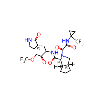 O=C(NC1(C(F)(F)F)CC1)C(=O)N1C[C@@H]2CCC[C@@H]2[C@H]1C(=O)NC(C[C@@H]1CCNC1=O)C(=O)COC(F)(F)F